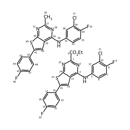 CCOC(=O)c1nc(Nc2ccc(F)c(Cl)c2)c2cc(-c3ccc(F)cc3)sc2n1.Cc1nc(Nc2ccc(F)c(Cl)c2)c2cc(-c3ccc(F)cc3)sc2n1